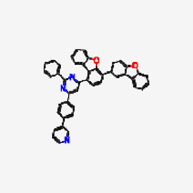 c1ccc(-c2nc(-c3ccc(-c4cccnc4)cc3)cc(-c3ccc(-c4ccc5oc6ccccc6c5c4)c4oc5ccccc5c34)n2)cc1